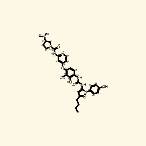 CCCCc1cc(NC(=O)Nc2ccc(Oc3ccnc(NC(=O)N4CCC(N(C)C)C4)c3)c(Cl)c2Cl)n(-c2ccc(O)cc2)n1